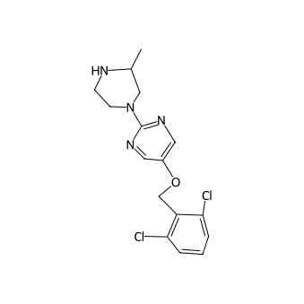 CC1CN(c2ncc(OCc3c(Cl)cccc3Cl)cn2)CCN1